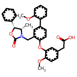 COc1ccc(CC(=O)O)cc1Oc1ccc(-c2ccccc2OC)cc1CN1C(=O)O[C@H](c2ccccc2)[C@@H]1C